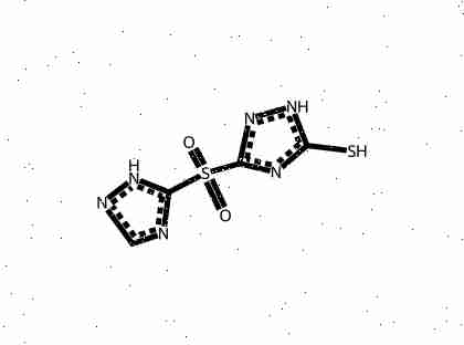 O=S(=O)(c1n[nH]c(S)n1)c1ncn[nH]1